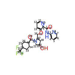 O=C(Nc1ccccn1)c1ncccc1OC[C@H]1C[C@@H](O)CN1C(=O)C1CCC(C(F)(F)F)CC1